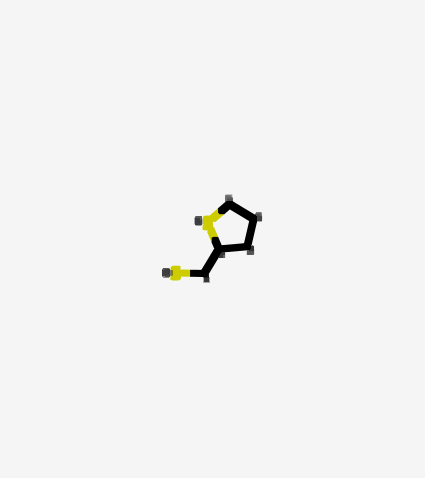 [S]CC1CCCS1